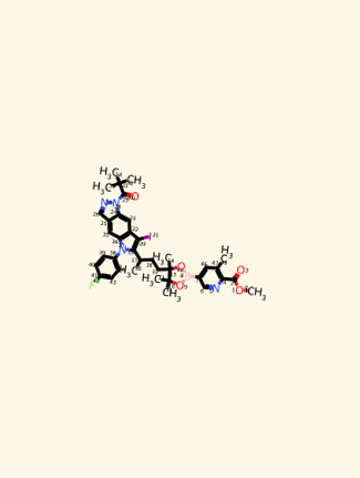 COC(=O)c1ncc(B2OC(C)(C)C(C)(CCC(C)c3c(I)c4cc5c(cnn5C(=O)C(C)(C)C)cc4n3-c3ccc(F)cc3)O2)cc1C